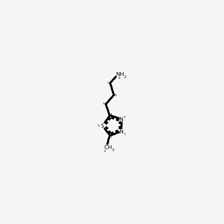 Cc1nnc(CCCN)s1